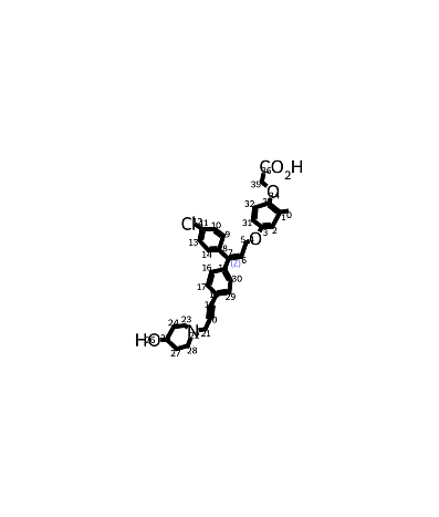 Cc1cc(OC/C=C(\c2ccc(Cl)cc2)c2ccc(C#CCN3CCC(O)CC3)cc2)ccc1OCC(=O)O